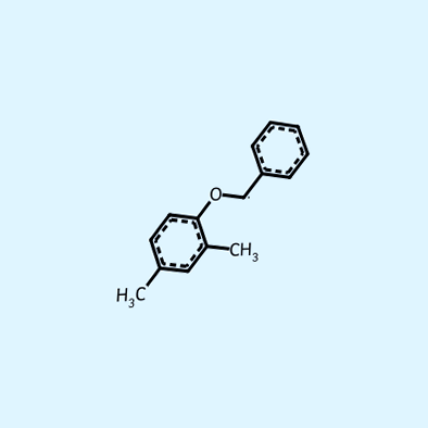 Cc1ccc(O[CH]c2ccccc2)c(C)c1